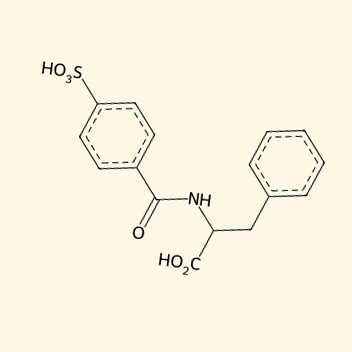 O=C(NC(Cc1ccccc1)C(=O)O)c1ccc(S(=O)(=O)O)cc1